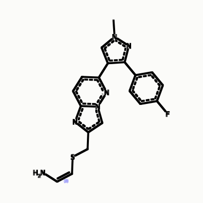 Cn1cc(-c2ccc3nc(CS/C=C\N)cn3n2)c(-c2ccc(F)cc2)n1